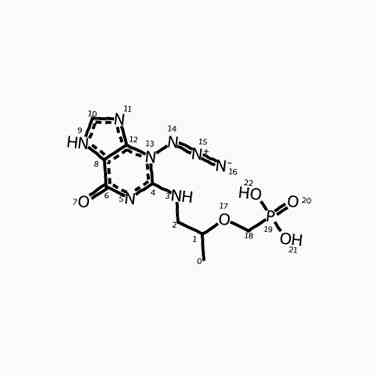 CC(CNc1nc(=O)c2[nH]cnc2n1N=[N+]=[N-])OCP(=O)(O)O